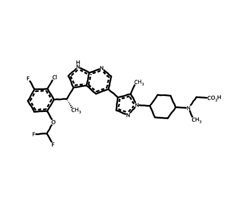 Cc1c(-c2cnc3[nH]cc([C@H](C)c4c(OC(F)F)ccc(F)c4Cl)c3c2)cnn1C1CCC(N(C)CC(=O)O)CC1